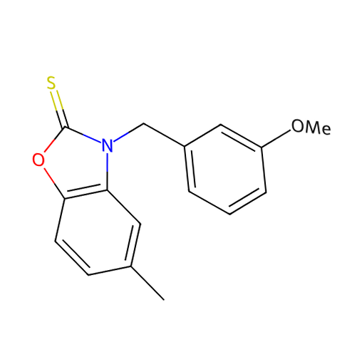 COc1cccc(Cn2c(=S)oc3ccc(C)cc32)c1